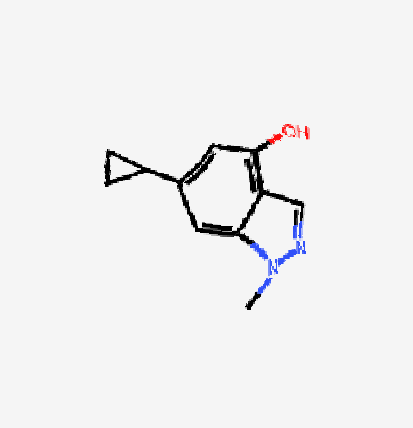 Cn1ncc2c(O)cc(C3CC3)cc21